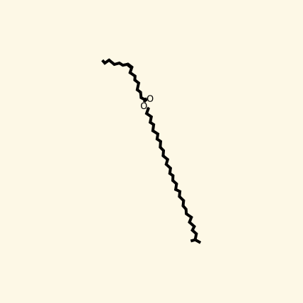 CCCCCC/C=C\CCCCCCCC(=O)OCCCCCCCCCCCCCCCCCCCCCCCCCCCCCCCC(C)C